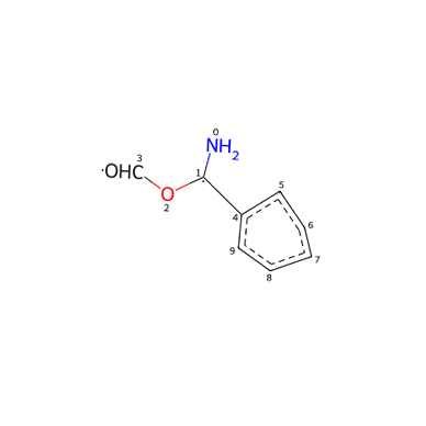 N[C](O[C]=O)c1ccccc1